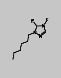 CCCCCCN1N=CN(F)C1F